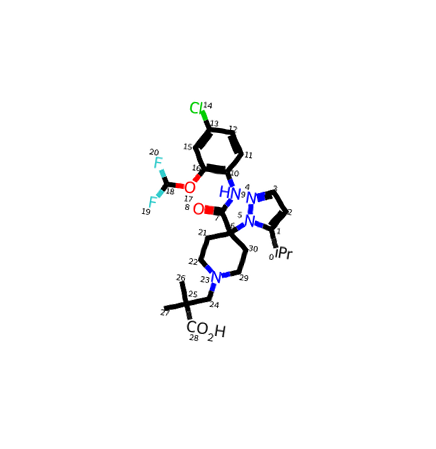 CC(C)c1ccnn1C1(C(=O)Nc2ccc(Cl)cc2OC(F)F)CCN(CC(C)(C)C(=O)O)CC1